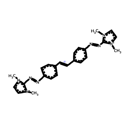 Cn1cc[n+](C)c1N=Nc1ccc(/C=C/c2ccc(N=Nc3n(C)cc[n+]3C)cc2)cc1